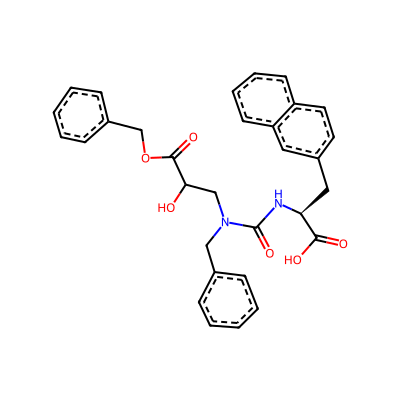 O=C(OCc1ccccc1)C(O)CN(Cc1ccccc1)C(=O)N[C@@H](Cc1ccc2ccccc2c1)C(=O)O